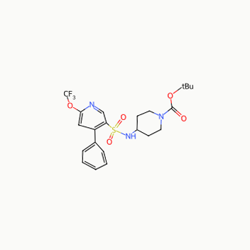 CC(C)(C)OC(=O)N1CCC(NS(=O)(=O)c2cnc(OC(F)(F)F)cc2-c2ccccc2)CC1